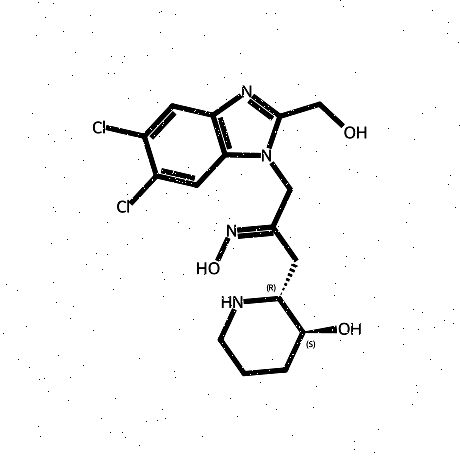 OCc1nc2cc(Cl)c(Cl)cc2n1CC(C[C@H]1NCCC[C@@H]1O)=NO